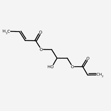 C=CC(=O)OCC(O)COC(=O)C=CC